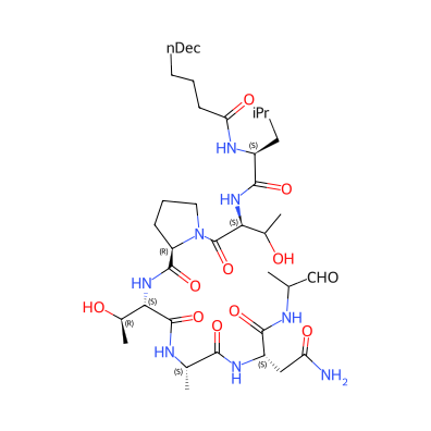 CCCCCCCCCCCCCC(=O)N[C@@H](CC(C)C)C(=O)N[C@H](C(=O)N1CCC[C@@H]1C(=O)N[C@H](C(=O)N[C@@H](C)C(=O)N[C@@H](CC(N)=O)C(=O)NC(C)C=O)[C@@H](C)O)C(C)O